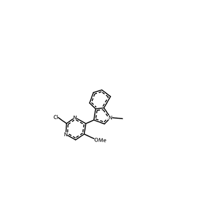 COc1cnc(Cl)nc1-c1cn(C)c2ccccc12